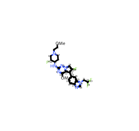 COCCN1CC[C@@H](Nc2nc(OC)c3c(-c4ccc5ncn(CC(F)F)c5c4)c(F)cn3n2)[C@H](F)C1